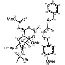 CCCCCCCC(=O)O[C@H]1/C(=C/C(=O)OC)C[C@@H](C[C@@H](OCc2ccc(OC)cc2)C(C)OCc2ccccc2)OC1(OC)C(C)(C)CO[Si](C)(C)C(C)(C)C